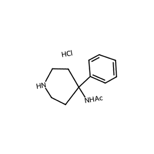 CC(=O)NC1(c2ccccc2)CCNCC1.Cl